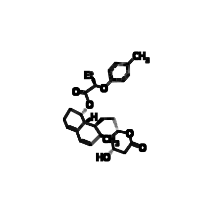 CC[C@@H](Oc1ccc(C)cc1)C(=O)O[C@H]1CCC=C2C=C[C@H](C)[C@H](CC[C@H]3C[C@@H](O)CC(=O)O3)[C@H]21